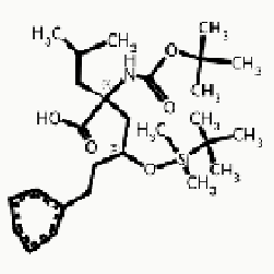 CC(C)C[C@](C[C@H](CCc1ccccc1)O[Si](C)(C)C(C)(C)C)(NC(=O)OC(C)(C)C)C(=O)O